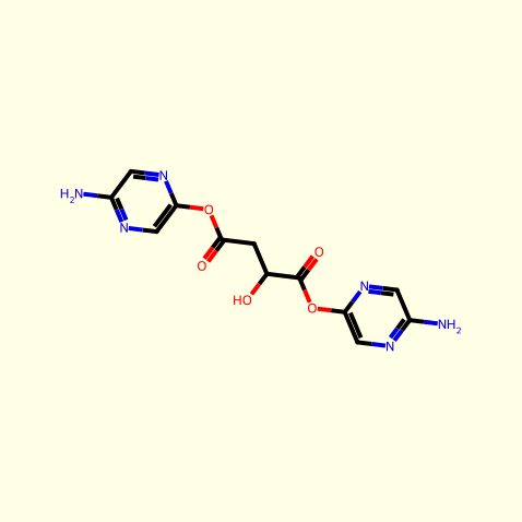 Nc1cnc(OC(=O)CC(O)C(=O)Oc2cnc(N)cn2)cn1